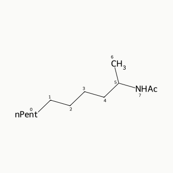 CCCCCCCCCC(C)NC(C)=O